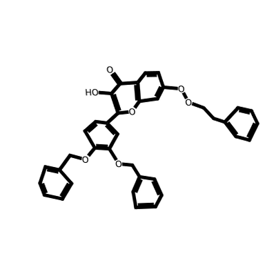 O=c1c(O)c(-c2ccc(OCc3ccccc3)c(OCc3ccccc3)c2)oc2cc(OOCCc3ccccc3)ccc12